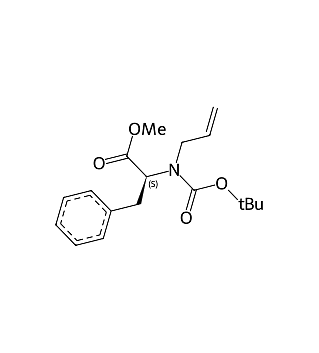 C=CCN(C(=O)OC(C)(C)C)[C@@H](Cc1ccccc1)C(=O)OC